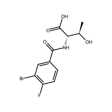 C[C@@H](O)[C@H](NC(=O)c1ccc(F)c(Br)c1)C(=O)O